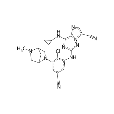 CN1CC2CC1CN2c1cc(C#N)cc(Nc2nc(NC3CC3)c3ncc(C#N)n3n2)c1Cl